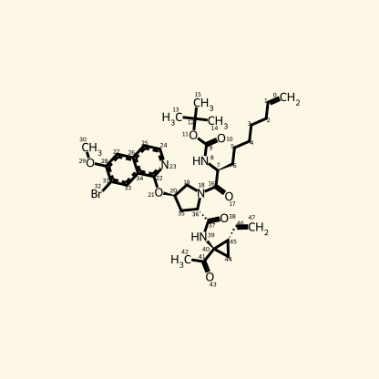 C=CCCCCC[C@H](NC(=O)OC(C)(C)C)C(=O)N1C[C@H](Oc2nccc3cc(OC)c(Br)cc23)C[C@H]1C(=O)N[C@]1(C(C)=O)C[C@H]1C=C